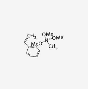 C=Cc1ccccc1.CO[N+](C)(OC)OC